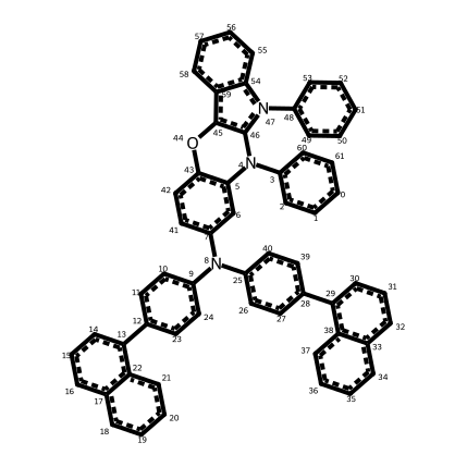 c1ccc(N2c3cc(N(c4ccc(-c5cccc6ccccc56)cc4)c4ccc(-c5cccc6ccccc56)cc4)ccc3Oc3c2n(-c2ccccc2)c2ccccc32)cc1